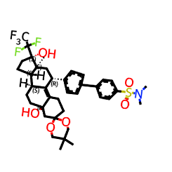 CN(C)S(=O)(=O)c1ccc(-c2ccc([C@H]3C[C@@]4(C)[C@@H](CC[C@@]4(O)C(F)(F)C(F)(F)F)[C@@H]4CC[C@@]5(O)CC6(CCC5=C43)OCC(C)(C)CO6)cc2)cc1